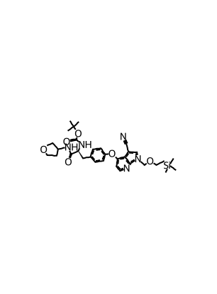 CC(C)(C)OC(=O)N[C@@H](Cc1ccc(Oc2ccnc3c2c(C#N)cn3COCC[Si](C)(C)C)cc1)C(=O)NC1CCOCC1